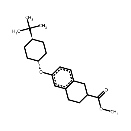 COC(=O)C1CCc2cc(O[C@H]3CC[C@H](C(C)(C)C)CC3)ccc2C1